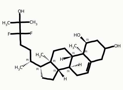 C[C@H](CCC(F)(F)C(C)(C)O)[C@H]1CC[C@H]2[C@@H]3CC=C4CC(O)C[C@H](O)[C@]4(C)[C@H]3CC[C@]12C